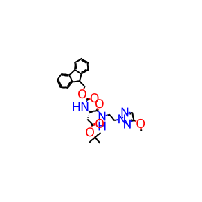 COc1cnn(CCNC(=O)[C@H](CC(=O)OC(C)(C)C)NC(=O)OCC2c3ccccc3-c3ccccc32)n1